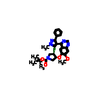 COc1cc2ncnc(-c3cn(C)nc3-c3ccccc3)c2cc1O[C@H]1CN(C(=O)OC(C)(C)C)C[C@@H]1F